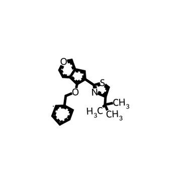 CC(C)(C)c1csc(-c2cc3coccc-3c2OCc2[c]cccc2)n1